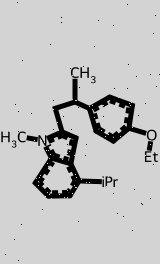 CCOc1ccc(C(C)Cc2cc3c(C(C)C)cccc3n2C)cc1